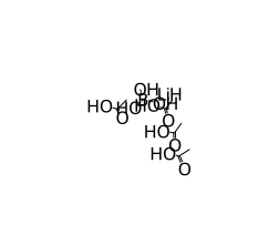 CC(=O)O.CC(=O)O.CC(=O)O.CC(=O)O.OB(O)O.[LiH]